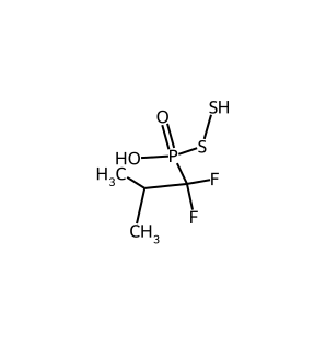 CC(C)C(F)(F)P(=O)(O)SS